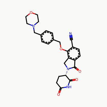 N#Cc1ccc2c(c1OCc1ccc(CN3CCOCC3)cc1)CN([C@H]1CCC(=O)NC1=O)C2=O